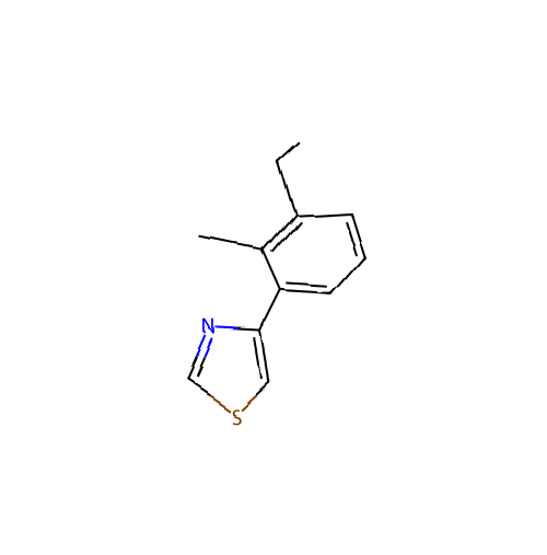 CCc1cccc(-c2cscn2)c1C